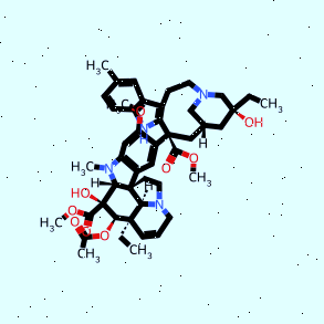 CC[C@]1(O)C[C@H]2CN(CCc3c([nH]c4ccc(C)cc34)[C@@](C(=O)OC)(c3cc4c(cc3OC)N(C)[C@H]3[C@@](O)(C(=O)OC)[C@H](OC(C)=O)[C@]5(CC)C=CCN6CC[C@]43[C@@H]65)C2)C1